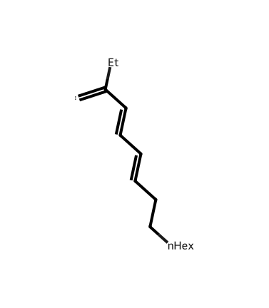 [C]=C(C=CC=CCCCCCCCC)CC